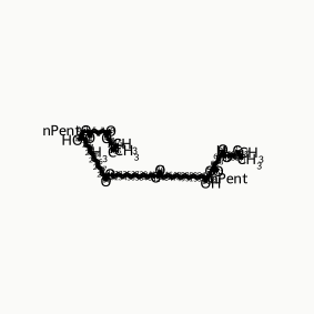 CCCCCC(OC(=O)CCCC(=O)OCC[N+](C)(C)C)C(O)CCCCCCCCCCC(=O)OCCCCCCCCCCOC(=O)CCCCCCCCCCC(O)C(CCCCC)OC(=O)CCCC(=O)OCC[N+](C)(C)C